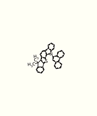 CC1(C)c2ccccc2-c2sc3c(ccc4c5ccccc5n(-c5cc6ccccc6c6ccccc56)c43)c21